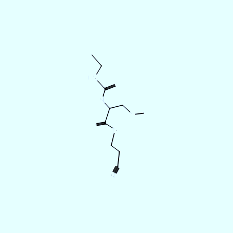 CCNC(=S)NC(CSC)C(=O)NCCC#N